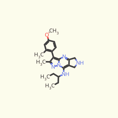 CCC(CC)Nc1c2c(nc3c(-c4ccc(OC)cc4C)c(C)nn13)CNC2